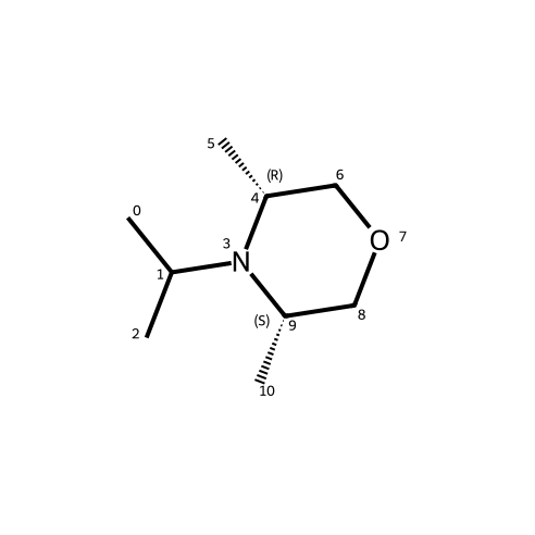 CC(C)N1[C@H](C)COC[C@@H]1C